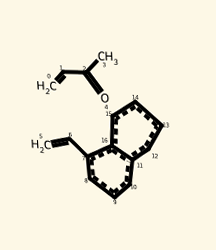 C=CC(C)=O.C=Cc1cccc2ccccc12